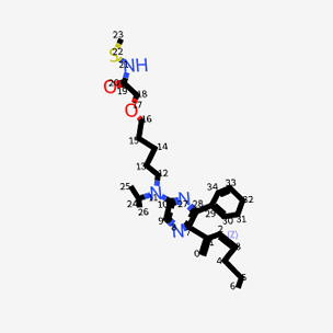 C=C(/C=C\CCC)c1ncc(N(CCCCCOCC(=O)NSC)C(C)C)nc1C1=CCCC=C1